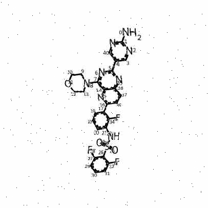 Nc1ncc(-c2nc(N3CCOCC3)c3nc(-c4cccc(NS(=O)(=O)c5c(F)cccc5F)c4F)ccc3n2)cn1